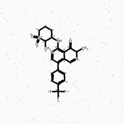 CC1N=Cc2c(-c3ccc(C(F)(F)F)cc3)cnc(NC3CCCS(=O)(=O)C3C)c2C1=O